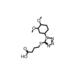 COC1CCC(n2nnnc2SCCCC(=O)O)CC1OC